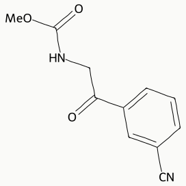 COC(=O)NCC(=O)c1cccc(C#N)c1